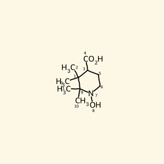 CC1(C)C(C(=O)O)CCN(O)C1(C)C